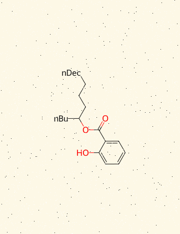 CCCCCCCCCCCCCC(CCCC)OC(=O)c1ccccc1O